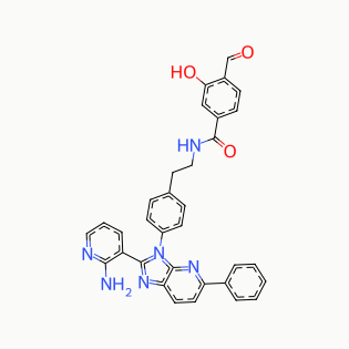 Nc1ncccc1-c1nc2ccc(-c3ccccc3)nc2n1-c1ccc(CCNC(=O)c2ccc(C=O)c(O)c2)cc1